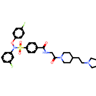 O=C(NCC(=O)N1CCC(CCN2CCCC2)CC1)c1ccc(S(=O)(=O)N(Oc2ccc(F)cc2)c2cccc(F)c2)cc1